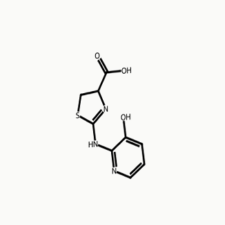 O=C(O)C1CSC(Nc2ncccc2O)=N1